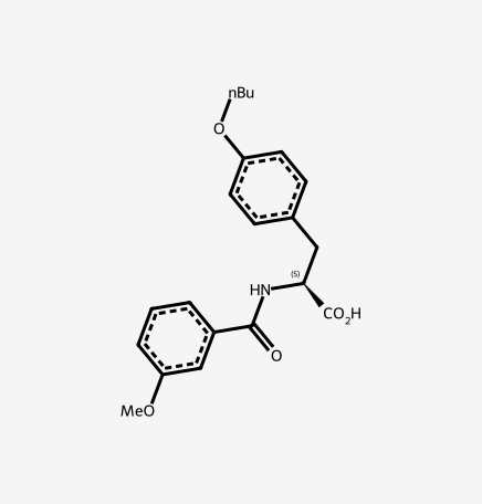 CCCCOc1ccc(C[C@H](NC(=O)c2cccc(OC)c2)C(=O)O)cc1